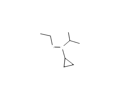 CC[N]N(C(C)C)C1CC1